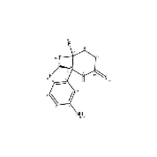 Nc1cccc([C@@]2(CF)NC(=S)CCC2(F)F)c1